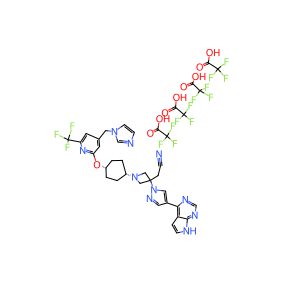 N#CCC1(n2cc(-c3ncnc4[nH]ccc34)cn2)CN([C@H]2CC[C@@H](Oc3cc(Cn4ccnc4)cc(C(F)(F)F)n3)CC2)C1.O=C(O)C(F)(F)F.O=C(O)C(F)(F)F.O=C(O)C(F)(F)F.O=C(O)C(F)(F)F